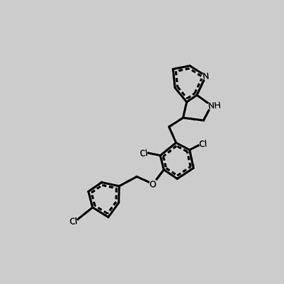 Clc1ccc(COc2ccc(Cl)c(CC3CNc4ncccc43)c2Cl)cc1